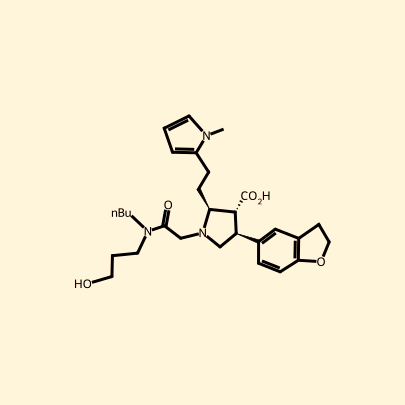 CCCCN(CCCO)C(=O)CN1C[C@H](c2ccc3c(c2)CCO3)[C@@H](C(=O)O)[C@@H]1CCc1cccn1C